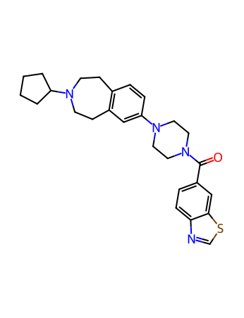 O=C(c1ccc2ncsc2c1)N1CCN(c2ccc3c(c2)CCN(C2CCCC2)CC3)CC1